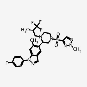 Cc1cc2c(cnn2-c2ccc(F)cc2)cc1[C@@H]1CN(S(=O)(=O)c2cnn(C)n2)CCN1C[C@@H](C)C(F)(F)F